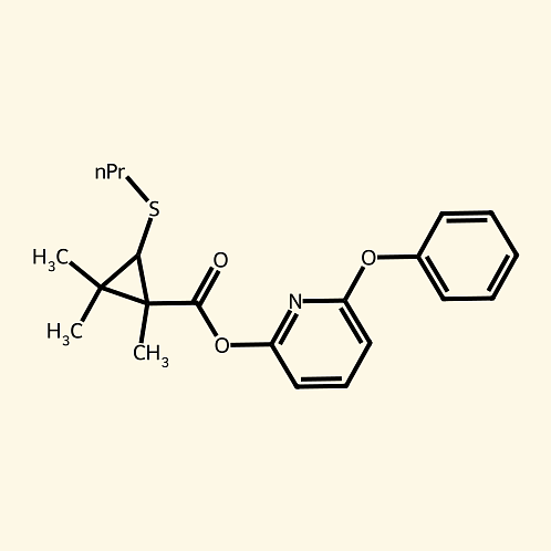 CCCSC1C(C)(C)C1(C)C(=O)Oc1cccc(Oc2ccccc2)n1